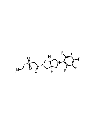 NCCS(=O)(=O)CC(=O)N1C[C@@H]2CN(c3c(F)c(F)c(F)c(F)c3F)C[C@@H]2C1